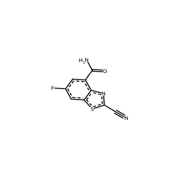 N#Cc1nc2c(C(N)=O)cc(F)cc2s1